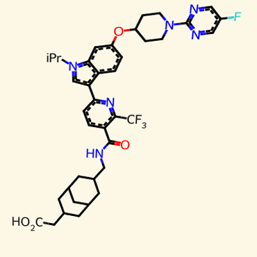 CC(C)n1cc(-c2ccc(C(=O)NCC3CC4CC(CC(=O)O)CC(C3)C4)c(C(F)(F)F)n2)c2ccc(OC3CCN(c4ncc(F)cn4)CC3)cc21